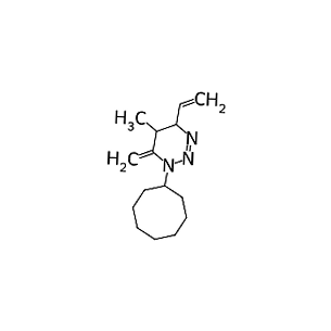 C=CC1N=NN(C2CCCCCCC2)C(=C)C1C